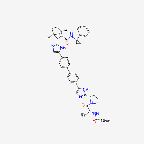 COC(=O)NC(C(=O)N1CCC[C@H]1c1ncc(-c2ccc(-c3ccc(-c4cnc([C@@H]5[C@H]6CC[C@H](C6)[C@H]5C(=O)NC5(c6ccccc6)CC5)[nH]4)cc3)cc2)[nH]1)C(C)C